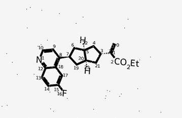 C=C(C(=O)OCC)[C@H]1C[C@@H]2C[C@H](c3ccnc4ccc(F)cc34)C[C@@H]2C1